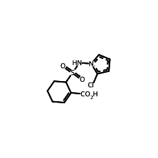 O=C(O)C1=CCCCC1S(=O)(=O)Nn1cccc1Cl